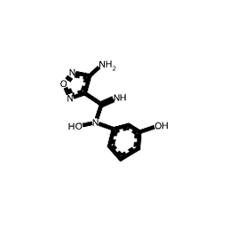 N=C(c1nonc1N)N(O)c1cccc(O)c1